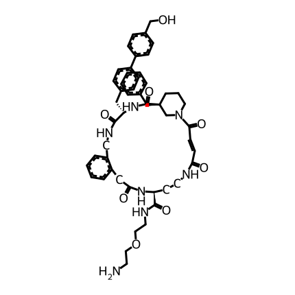 NCCOCCNC(=O)[C@@H]1CCNC(=O)/C=C/C(=O)N2CCC[C@](Cc3ccccc3)(C2)C(=O)N[C@@H](Cc2ccc(-c3ccc(CO)cc3)cc2)C(=O)NCc2ccccc2CC(=O)N1